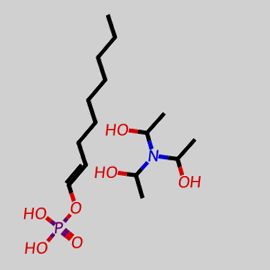 CC(O)N(C(C)O)C(C)O.CCCCCCCC=COP(=O)(O)O